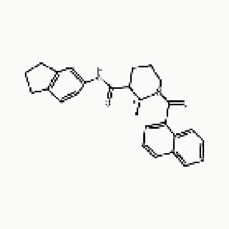 C[C@H]1C(C(=O)Nc2ccc3c(c2)CCC3)CCCN1C(=O)c1cccc2ccccc12